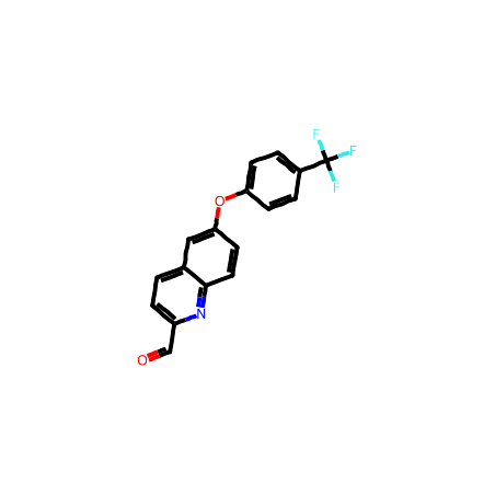 O=Cc1ccc2cc(Oc3ccc(C(F)(F)F)cc3)ccc2n1